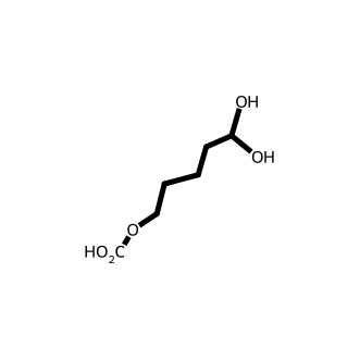 O=C(O)OCCCCC(O)O